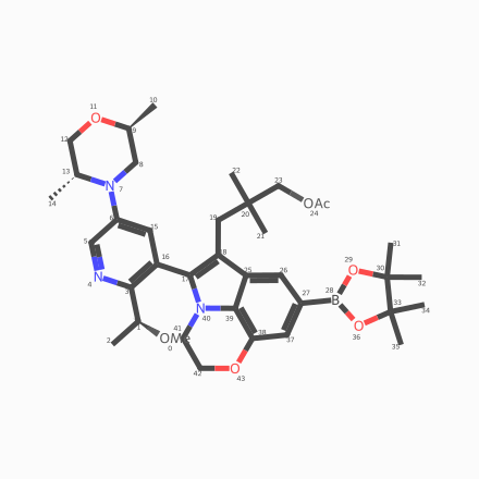 CO[C@@H](C)c1ncc(N2C[C@H](C)OC[C@H]2C)cc1-c1c(CC(C)(C)COC(C)=O)c2cc(B3OC(C)(C)C(C)(C)O3)cc3c2n1CCO3